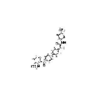 CCCCc1ccc(NC(=O)Nc2ccc(-c3ccc(C(=O)N4CCCC[C@H]4C(=O)O)cc3)cc2)cc1